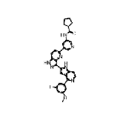 COc1cc(F)cc(-c2nccc3[nH]c(-c4n[nH]c5ccc(-c6cncc(NC(=O)C7CCCC7)c6)nc45)cc23)c1